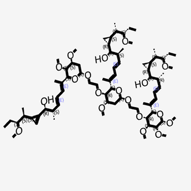 CC[C@H](OC)[C@@H](C)[C@@H]1C=C1[C@H](O)[C@@H](C)/C=C/C=C(\C)[C@@H]1O[C@@H](OCCO[C@@H]2[C@@H](OC)C[C@H](OCCO[C@H]3[C@H](OC)[C@@H](OC)[C@@H](OC)O[C@H]3/C(C)=C/C=C/[C@@H](C)[C@@H](O)[C@@H]3C[C@H]3[C@H](C)[C@H](CC)OC)O[C@H]2/C(C)=C/C=C/[C@H](C)[C@@H](O)[C@@H]2C[C@H]2[C@H](C)[C@H](CC)OC)C[C@H](OC)[C@@H]1OC